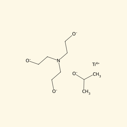 CC(C)[O-].[O-]CCN(CC[O-])CC[O-].[Ti+4]